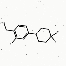 OCc1ccc(C2CCC(F)(F)CC2)cc1F